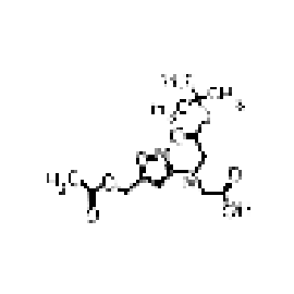 CC(=O)OCc1cc([C@H](CC(=O)O)CC(=O)OC(C)(C)C)no1